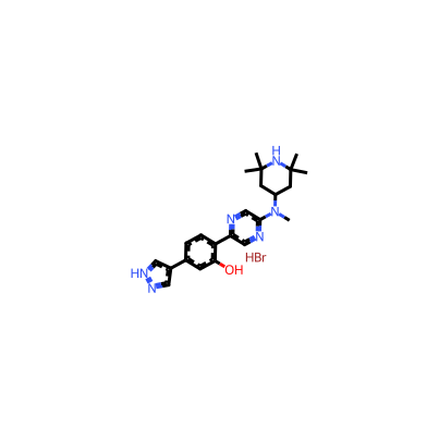 Br.CN(c1cnc(-c2ccc(-c3cn[nH]c3)cc2O)cn1)C1CC(C)(C)NC(C)(C)C1